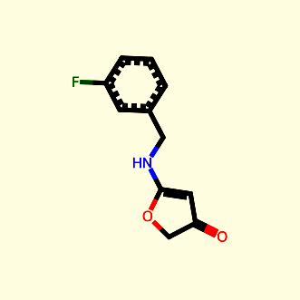 O=C1C=C(NCc2cccc(F)c2)OC1